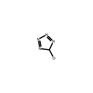 [O]C1N=NN=N1